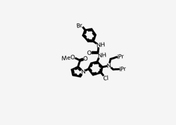 COC(=O)c1cccn1-c1cc(Cl)c(N(CC(C)C)CC(C)C)c(NC(=O)Nc2ccc(Br)cc2)c1